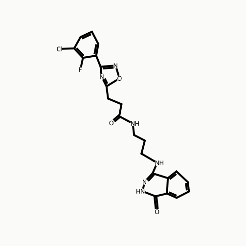 O=C(CCc1nc(-c2cccc(Cl)c2F)no1)NCCCNc1n[nH]c(=O)c2ccccc12